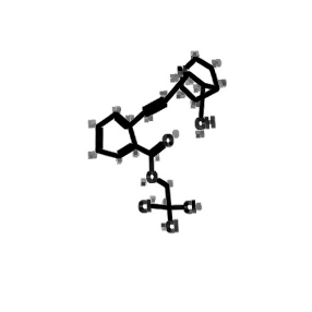 O=C(OCC(Cl)(Cl)Cl)c1ccccc1C#CC1C(O)C2CCN1CC2